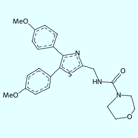 COc1ccc(-c2nc(CNC(=O)N3CCOCC3)sc2-c2ccc(OC)cc2)cc1